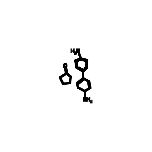 Nc1ccc(C2=CCC(N)C=C2)cc1.O=C1CCCC1